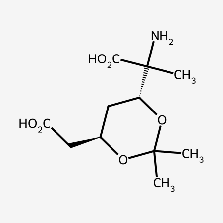 CC1(C)O[C@@H](CC(=O)O)C[C@H](C(C)(N)C(=O)O)O1